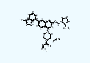 C=CC(=O)N1CCN(c2nc(OC[C@@H]3CCCN3C)nc3cc(-c4cccc5c(F)csc45)ccc23)C[C@@H]1CC#N